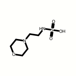 O=S(=O)(O)NCCN1CCOCC1